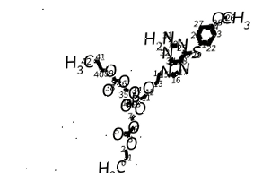 CCCOC(=O)OCOP(=O)(COCCn1cnc2c(Sc3ccc(OC)cc3)nc(N)nc21)OCOC(=O)OCCC